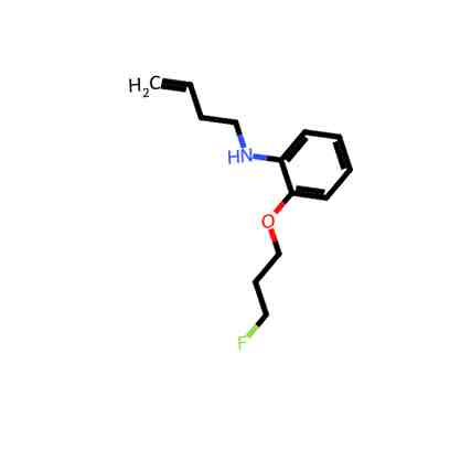 C=CCCNc1ccccc1OCCCF